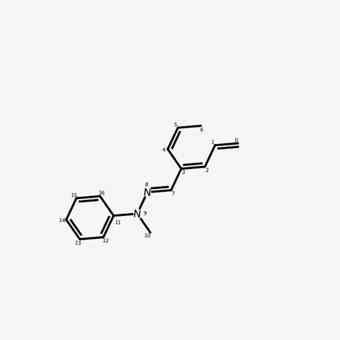 C=C/C=C(\C=C/C)/C=N/N(C)c1ccccc1